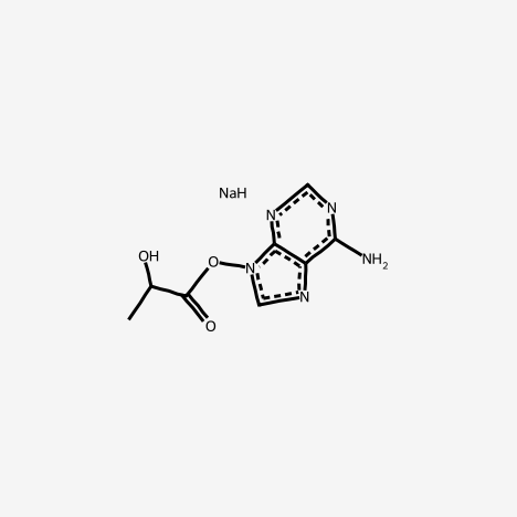 CC(O)C(=O)On1cnc2c(N)ncnc21.[NaH]